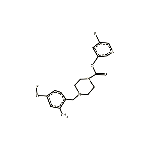 Cc1cc(OC(C)C)ccc1CN1CCN(C(=O)Oc2cncc(F)c2)CC1